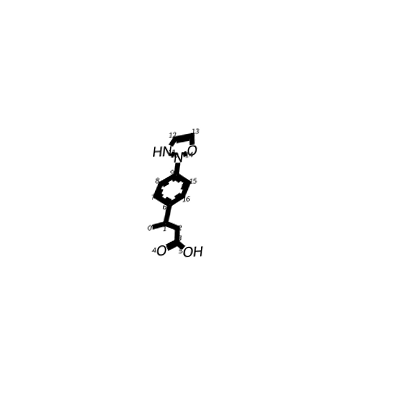 CC(CC(=O)O)c1ccc(N2NC=CO2)cc1